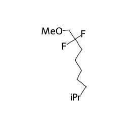 COCC(F)(F)CCCCCC(C)C